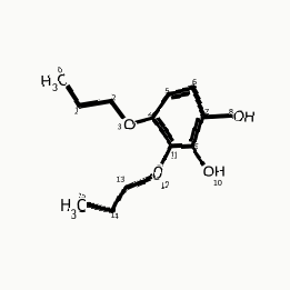 CCCOc1ccc(O)c(O)c1OCCC